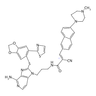 CN1CCN(c2ccc3cc(/C=C(\C#N)C(=O)NCCCn4c(Sc5cc6c(cc5-c5nccs5)OCO6)nc5c(N)nccc54)ccc3c2)CC1